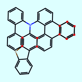 c1ccc(-c2ccccc2-c2c(-c3ccccc3)cccc2N(c2ccc3c(c2)sc2ccccc23)c2ccccc2-c2ccccc2)cc1